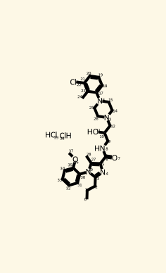 CCCc1nc(C(=O)NCC(O)CN2CCN(c3cccc(Cl)c3C)CC2)c(C)n1-c1ccccc1OC.Cl.Cl